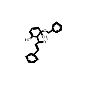 CC1(OCc2ccccc2)C=CC=C(O)C1C(=O)C=Cc1ccccc1